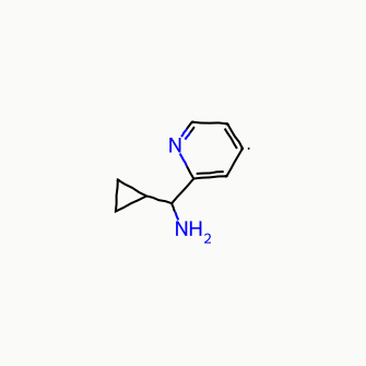 NC(c1c[c]ccn1)C1CC1